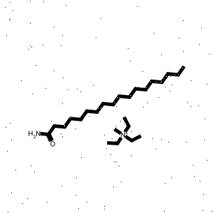 CCCCCCCCCCCCCCCCCC(N)=O.CC[N+](C)(CC)CC